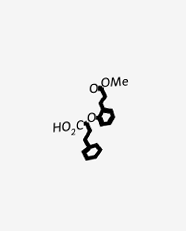 COC(=O)CCc1ccccc1OC(CCC1=CCCCC1)C(=O)O